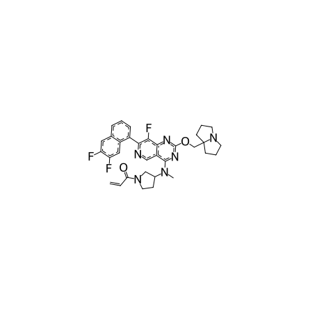 C=CC(=O)N1CCC(N(C)c2nc(OCC34CCCN3CCC4)nc3c(F)c(-c4cccc5cc(F)c(F)cc45)ncc23)C1